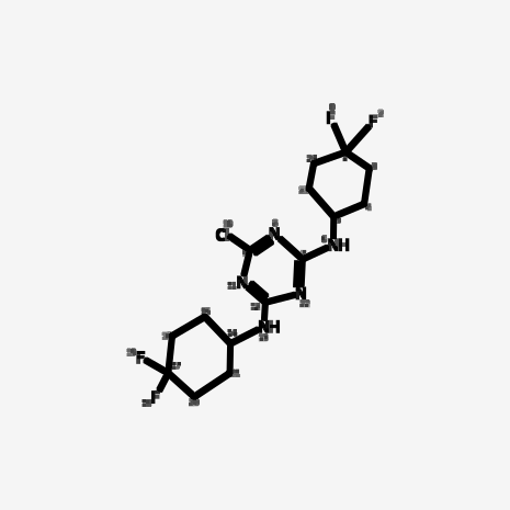 FC1(F)CCC(Nc2nc(Cl)nc(NC3CCC(F)(F)CC3)n2)CC1